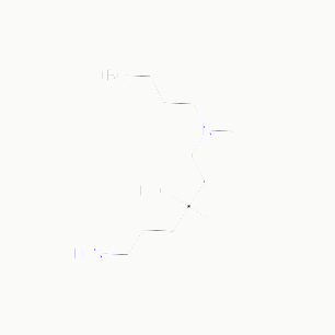 CN(CCCC(C)(C)C)CCC(C)(C)CCCN